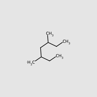 [CH2]C(CC)CC(C)CC